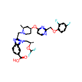 C[C@H](Cn1c(CN2CC[C@H](Oc3ccnc(COc4ccc(F)cc4F)n3)C[C@@H]2C)nc2ccc(C(=O)O)cc21)OC(F)F